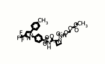 COC(=O)OCON=[N+]([O-])N1CC[C@H]1C(=O)NS(=O)(=O)c1ccc(-n2nc(C(F)(F)F)cc2-c2ccc(C)cc2)cc1